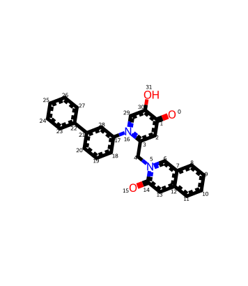 O=c1cc(Cn2cc3ccccc3cc2=O)n(-c2cccc(-c3ccccc3)c2)cc1O